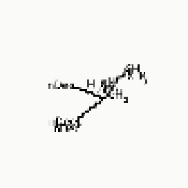 CCCCCCCCCCCCCCCCCC/C(=C\C(C)CC(C)C(=O)NCCCCN(C)C)CCCCCCC/C=C(/CCCCCCCCCC)CCCCCCCCCCC